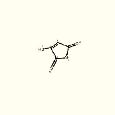 O=C1C=C(O)C(=O)[N]1